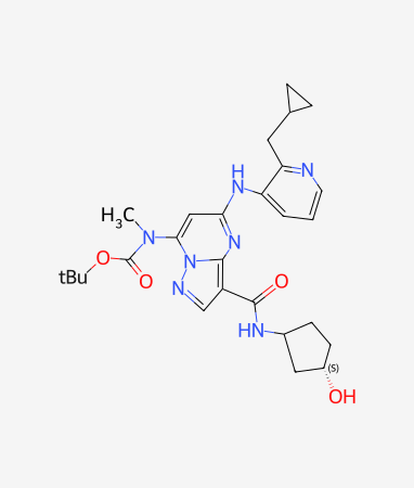 CN(C(=O)OC(C)(C)C)c1cc(Nc2cccnc2CC2CC2)nc2c(C(=O)NC3CC[C@H](O)C3)cnn12